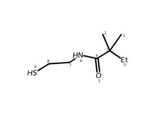 CCC(C)(C)C(=O)NCCS